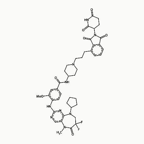 COc1cc(C(=O)NC2CCN(CCCc3cccc4c3C(=O)N(C3CCC(=O)NC3=O)C4=O)CC2)ccc1Nc1ncc2c(n1)N(C1CCCC1)CC(F)(F)C(=O)N2C